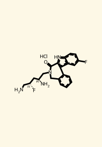 Cl.NC[C@@H](F)C[C@@H](N)CN1Cc2ccccc2-c2c([nH]c3ccc(F)cc23)C1=O